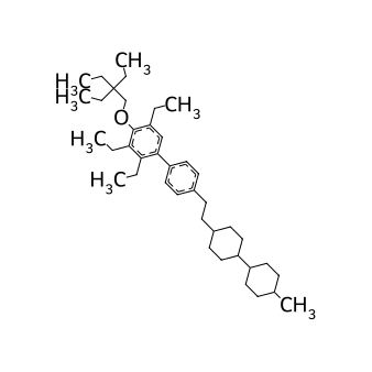 CCc1cc(-c2ccc(CCC3CCC(C4CCC(C)CC4)CC3)cc2)c(CC)c(CC)c1OCC(CC)(CC)CC